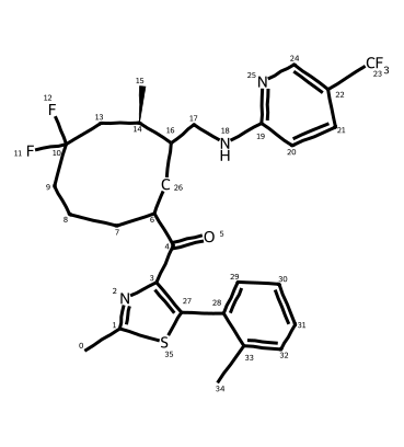 Cc1nc(C(=O)C2CCCC(F)(F)C[C@@H](C)C(CNc3ccc(C(F)(F)F)cn3)C2)c(-c2ccccc2C)s1